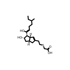 CCC(C)CCC=C(O)[C@H]1[C@@H]2C=C(CCSCC(=O)O)C[C@@H]2C[C@@H]1O